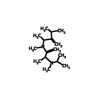 C=C(C(C)C)C(C)N(C)C(=C)C(C)N(C)C(C)C